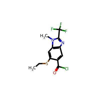 CCSc1cc2c(cc1C(=O)Cl)nc(C(F)(F)F)n2C